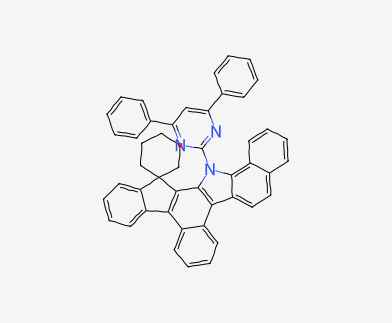 c1ccc(-c2cc(-c3ccccc3)nc(-n3c4c5c(c6ccccc6c4c4ccc6ccccc6c43)-c3ccccc3C53CCCCC3)n2)cc1